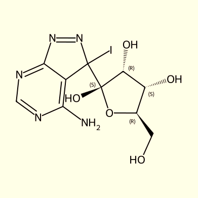 Nc1ncnc2c1C(I)([C@@]1(O)O[C@H](CO)[C@@H](O)[C@H]1O)N=N2